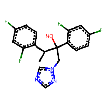 CC(c1ccc(F)cc1F)C(O)(Cn1cncn1)c1ccc(F)cc1F